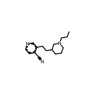 CCCN1CCCC(CCc2cnccc2C#N)C1